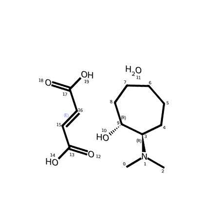 CN(C)[C@@H]1CCCCC[C@H]1O.O.O=C(O)/C=C/C(=O)O